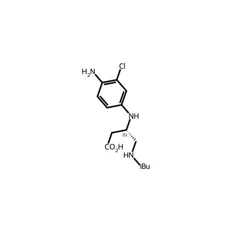 CCC(C)NC[C@H](CC(=O)O)Nc1ccc(N)c(Cl)c1